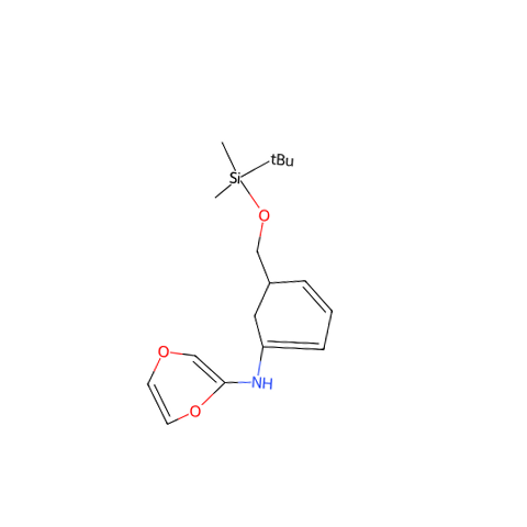 CC(C)(C)[Si](C)(C)OCC1C=CC=C(NC2=COC=CO2)C1